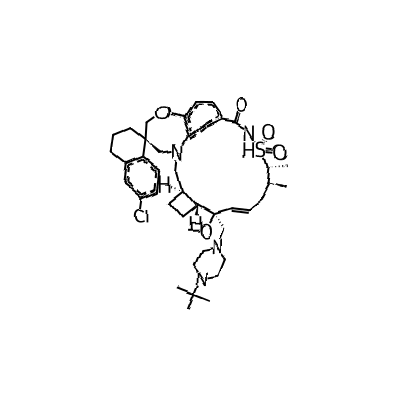 CO[C@]1(CN2CCN(C(C)(C)C)CC2)/C=C/C[C@H](C)[C@@H](C)S(=O)(=O)NC(=O)c2ccc3c(c2)N(C[C@@H]2CC[C@H]21)C[C@@]1(CCCc2cc(Cl)ccc21)CO3